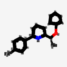 CCCC[C@@H](Oc1cc[c]cc1)c1cccc(-c2ccc(C(F)(F)F)cc2)n1